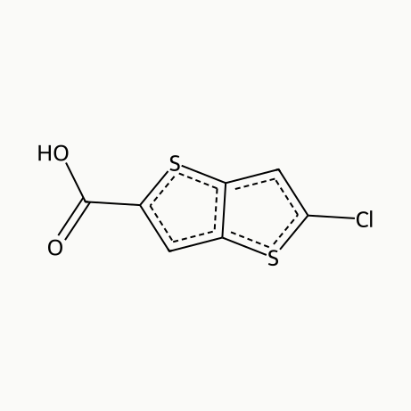 O=C(O)c1cc2sc(Cl)cc2s1